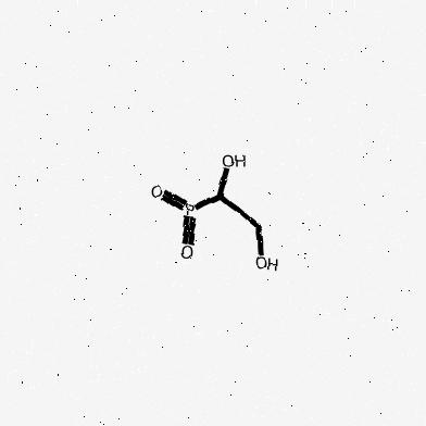 O=P(=O)C(O)CO